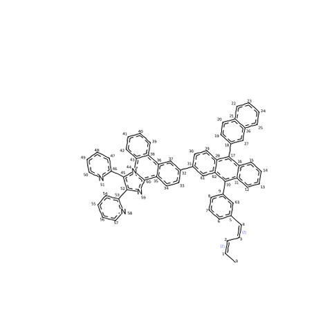 C/C=C\C=C/c1cccc(-c2c3ccccc3c(-c3ccc4ccccc4c3)c3ccc(-c4ccc5c(c4)c4ccccc4n4c(-c6ccccn6)c(-c6ccccn6)nc54)cc23)c1